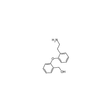 NCCc1ccccc1Oc1ccccc1CO